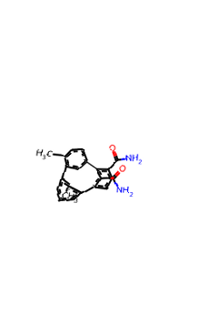 Cc1ccc2cc1-c1cccc(c1C)-c1ccc(C(N)=O)c-2c1C(N)=O